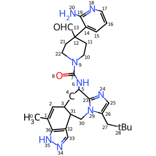 CC1=CC2C[C@@H](NC(=O)N3CCC(C=O)(c4cccnc4N)CC3)c3ncc(CC(C)(C)C)n3CC2c2cn[nH]c21